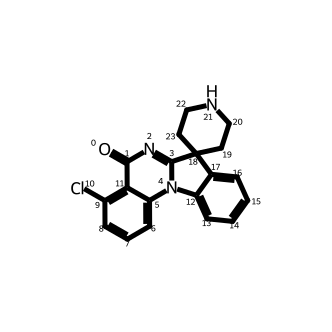 O=c1nc2n(c3cccc(Cl)c13)-c1ccccc1C21CCNCC1